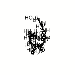 CSCC[C@H](NC(=O)C(CC(C)C)NC(=O)[C@H](Cc1c[nH]cn1)NC(=O)CNC(=O)C(NC(=O)C(C)NC(=O)[C@H](Cc1c[nH]c2ccccc12)NC(=O)C(CCC(N)=O)NC(=O)CC[C@@H](C)C1CCC2C3CCC4CC(NC(=O)CNC(=O)CNCCNCC(=O)O)CCC4(C)C3CC(=O)C21C)C(C)C)C(N)=O